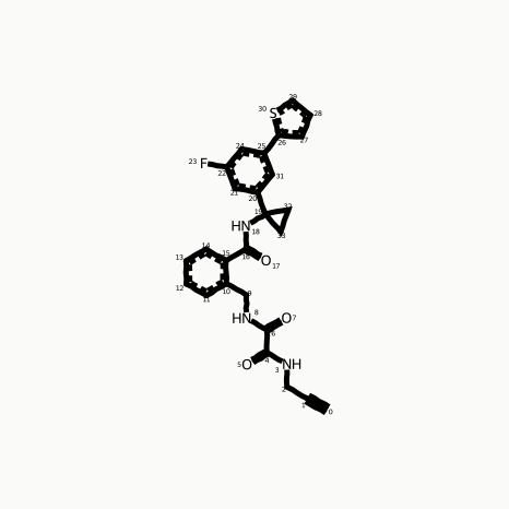 C#CCNC(=O)C(=O)NCc1ccccc1C(=O)NC1(c2cc(F)cc(-c3cccs3)c2)CC1